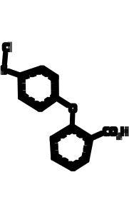 O=C(O)c1ccccc1Oc1ccc(SCl)cc1